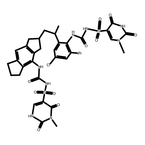 CC(C)c1cc(Cl)cc(C(C)CC2Cc3cc4c(c(NC(=O)NS(=O)(=O)c5c[nH]c(=O)n(C)c5=O)c3C2)CCC4)c1NC(=O)NS(=O)(=O)c1cn(C)c(=O)[nH]c1=O